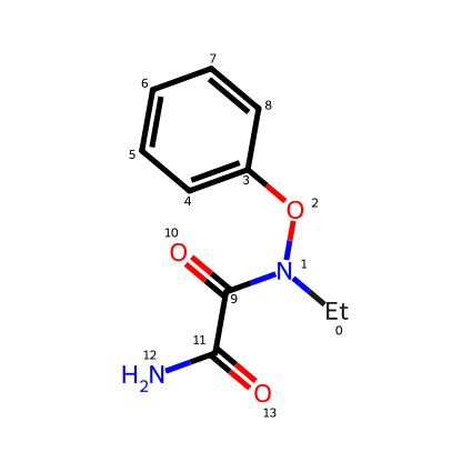 CCN(Oc1ccccc1)C(=O)C(N)=O